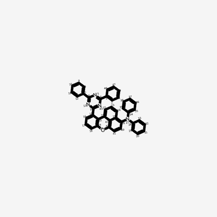 c1ccc(-c2nc(-c3ccccc3)nc(-c3cccc4c3-c3cccc5c(N(c6ccccc6)c6ccccc6)ccc(c35)O4)n2)cc1